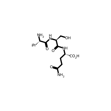 CC(C)[C@H](N)C(=O)N[C@@H](CO)C(=O)N[C@@H](CCC(N)=O)C(=O)O